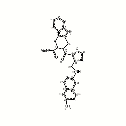 CNC(=O)C1Cc2c([nH]c3ccccc23)CN1C(=O)c1occc1CNc1ccc2nc(C)cnc2c1